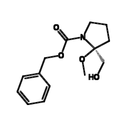 CO[C@]1(CO)CCCN1C(=O)OCc1ccccc1